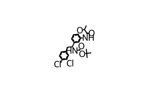 CC1Oc2ccc(C(Cc3ccc(Cl)c(Cl)c3)NC(=O)OC(C)(C)C)cc2NC1=O